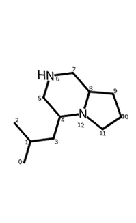 CC(C)CC1CNCC2CCCN21